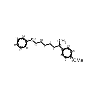 COc1ccc(C(C)CCCCCSc2ccccc2)cc1